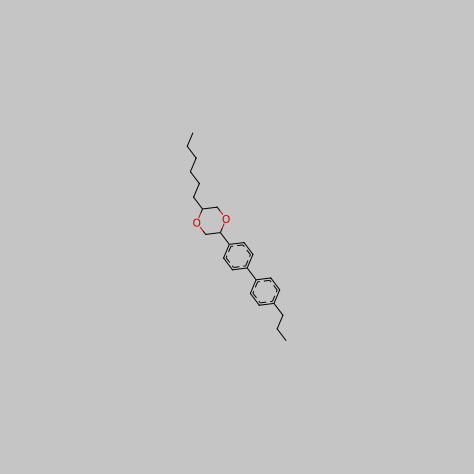 CCCCCCC1COC(c2ccc(-c3ccc(CCC)cc3)cc2)CO1